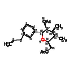 C=CCc1cccc([C@H]2O[C@H](COC(C)=O)[C@@H](C)[C@H](C)[C@@H]2OC(C)=O)c1